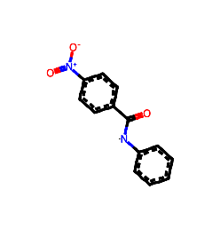 O=C([N]c1ccccc1)c1ccc([N+](=O)[O-])cc1